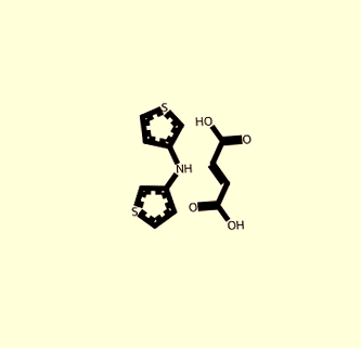 O=C(O)C=CC(=O)O.c1cc(Nc2ccsc2)cs1